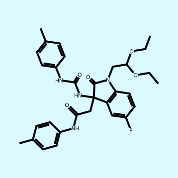 CCOC(CN1C(=O)C(CC(=O)Nc2ccc(C)cc2)(NC(=O)Nc2ccc(C)cc2)c2cc(F)ccc21)OCC